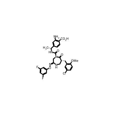 COc1ccc(Cl)cc1C[C@@H]1CN/C(=N\Oc2cc(F)cc(F)c2)CN(C(=O)N[C@H](C)c2ccc(C(=O)O)c(N)c2)C1=O